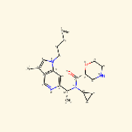 COCCCn1cc(C(C)C)c2cnc([C@@H](C)N(C(=O)[C@H]3CNCCO3)C3CC3)cc21